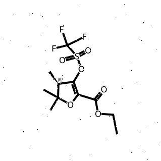 CCOC(=O)C1=C(OS(=O)(=O)C(F)(F)F)[C@H](C)C(C)(C)O1